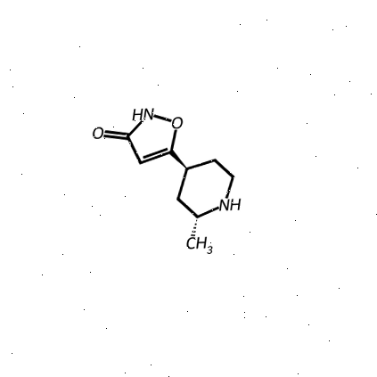 C[C@@H]1C[C@@H](c2cc(=O)[nH]o2)CCN1